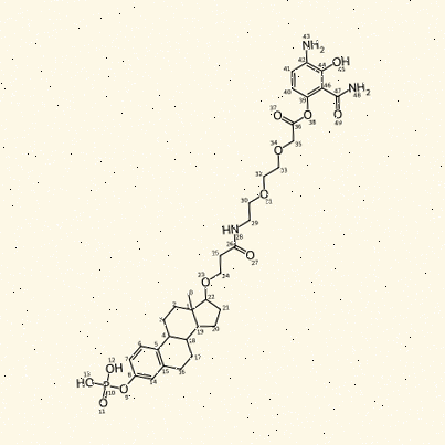 CC12CCC3c4ccc(OP(=O)(O)O)cc4CCC3C1CCC2OCCC(=O)NCCOCCOCC(=O)Oc1ccc(N)c(O)c1C(N)=O